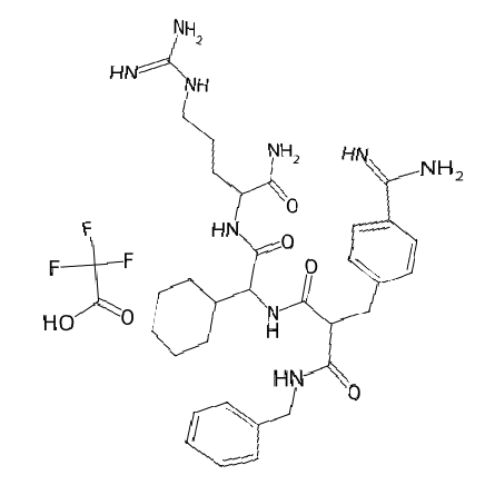 N=C(N)NCCCC(NC(=O)C(NC(=O)C(Cc1ccc(C(=N)N)cc1)C(=O)NCc1ccccc1)C1CCCCC1)C(N)=O.O=C(O)C(F)(F)F